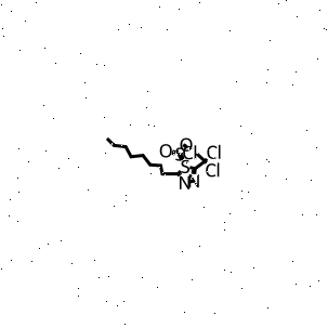 CCCCCCCCC1=NN=C(C(Cl)(Cl)Cl)S1=S(=O)=O